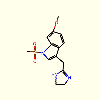 COc1ccc2c(CC3=NCCN3)cn(S(C)(=O)=O)c2c1